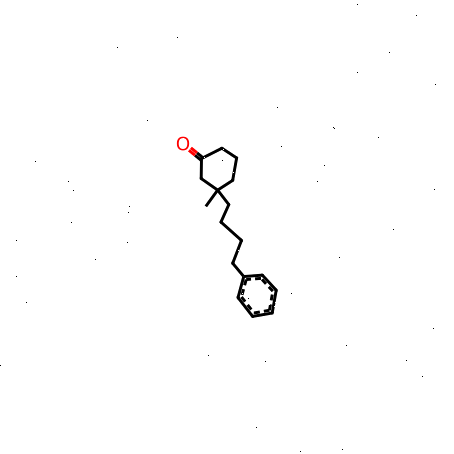 CC1(CCCCc2ccccc2)CCCC(=O)C1